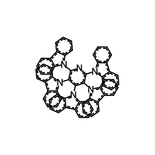 c1ccc2c(c1)c1ccccc1n2-c1nc(-n2c3ccccc3c3ccccc32)c(-n2c3ccccc3c3ccccc32)c(-n2c3ccccc3c3ccccc32)c1-n1c2ccccc2c2ccccc21